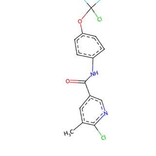 Cc1cc(C(=O)Nc2ccc(OC(F)(F)Cl)cc2)cnc1Cl